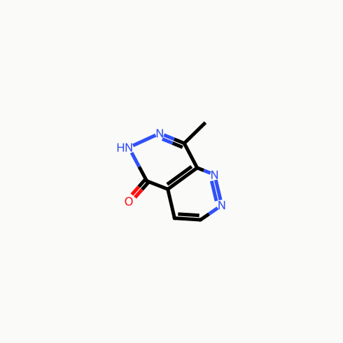 Cc1n[nH]c(=O)c2ccnnc12